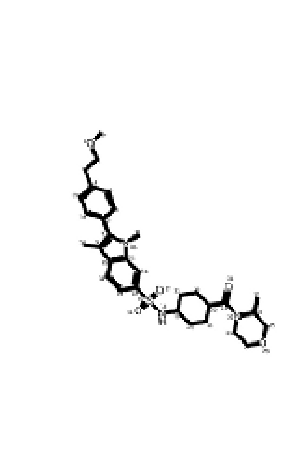 COCCc1ccc(-c2c(C)c3ccc(S(=O)(=O)NC4CCC(C(=O)N5CCOCC5C)CC4)cc3n2C)cc1